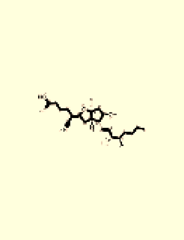 CCCC[C@@H](C)[C@H](O)/C=C/[C@@H]1[C@H]2C/C(=C(\C#N)CCCC(=O)O)O[C@H]2C[C@H]1O